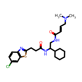 CN(C)C/C=C/C(=O)NCC(NC(=O)CCc1nc2ccc(Cl)cc2s1)C1CCCCC1